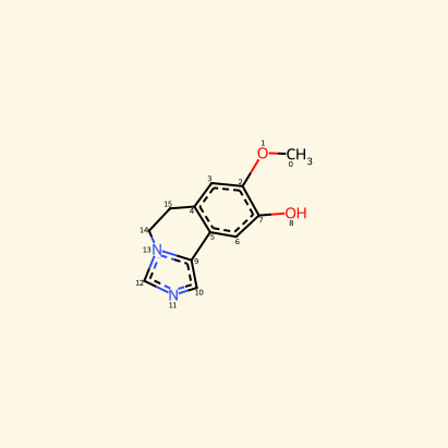 COc1cc2c(cc1O)-c1cncn1CC2